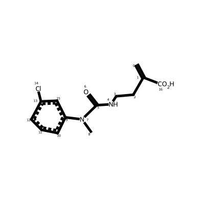 C=C(CCNC(=O)N(C)c1cccc(Cl)c1)C(=O)O